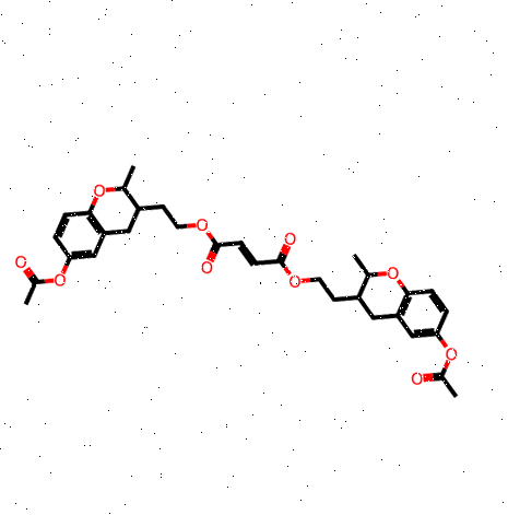 CC(=O)Oc1ccc2c(c1)CC(CCOC(=O)/C=C/C(=O)OCCC1Cc3cc(OC(C)=O)ccc3OC1C)C(C)O2